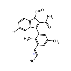 Cc1cc(/C=C/C#N)c(C)c(-c2c(C(N)=O)n(P=O)c3ccc(Cl)cc23)c1